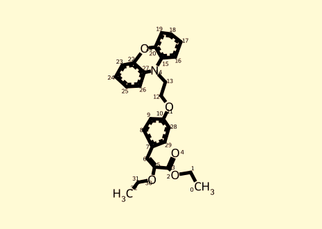 CCOC(=O)/C(=C\c1ccc(OCCN2c3ccccc3Oc3ccccc32)cc1)OCC